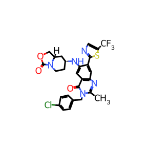 Cc1nc2cc(-c3ncc(C(F)(F)F)s3)c(N[C@H]3CCN4C(=O)OC[C@@H]4C3)cc2c(=O)n1Cc1ccc(Cl)cc1